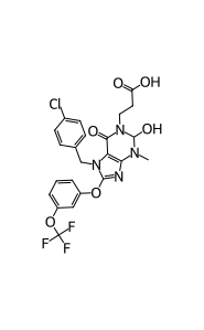 CN1c2nc(Oc3cccc(OC(F)(F)F)c3)n(Cc3ccc(Cl)cc3)c2C(=O)N(CCC(=O)O)C1O